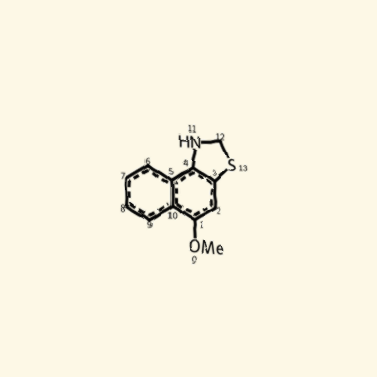 COc1cc2c(c3ccccc13)NCS2